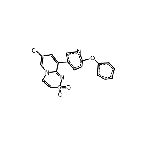 O=S1(=O)C=CN2C=C(Cl)C=C(c3ccc(Oc4ccccc4)nc3)C2=N1